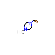 CN1CCN(C=S)CC1